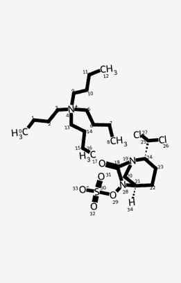 CCCC[N+](CCCC)(CCCC)CCCC.O=C1N2C[C@@H](CC[C@H]2C(Cl)Cl)N1OS(=O)(=O)[O-]